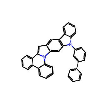 c1ccc(-c2cccc(-n3c4ccccc4c4cc5cc6c7ccccc7c7ccccc7n6c5cc43)c2)cc1